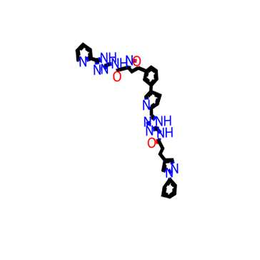 O=C(CCc1cnn(-c2ccccc2)c1)Nc1nnc(-c2ccc(-c3cccc(C4CC(C(=O)Nc5nnc(-c6ccccn6)[nH]5)=NO4)c3)cn2)[nH]1